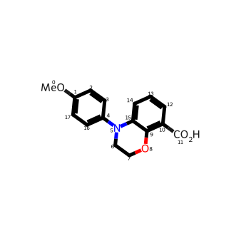 COc1ccc(N2CCOc3c(C(=O)O)cccc32)cc1